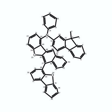 CC1(C)c2ccccc2-c2ccc(N(c3ccccc3)c3cccc4oc5c(-c6cccc7c6oc6ccccc67)c6ccccc6cc5c34)cc21